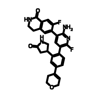 Nc1nc(F)c(-c2ccc(C3=CCOCC3)cc2C2CNC(=O)C2)cc1-c1cc2c(cc1F)C(=O)NCC2